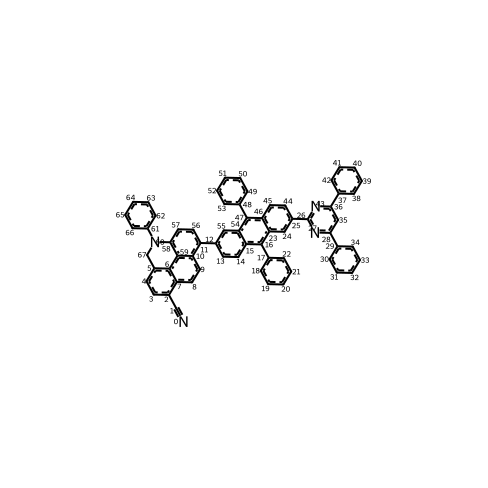 N#Cc1ccc2c3c1ccc1c(-c4ccc5c(-c6ccccc6)c6cc(-c7nc(-c8ccccc8)cc(-c8ccccc8)n7)ccc6c(-c6ccccc6)c5c4)ccc(c13)N(c1ccccc1)C2